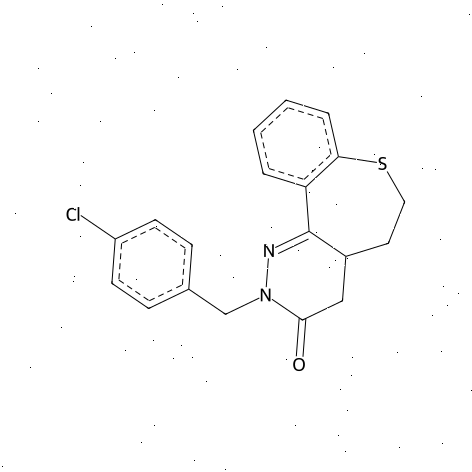 O=C1CC2CCSc3ccccc3C2=NN1Cc1ccc(Cl)cc1